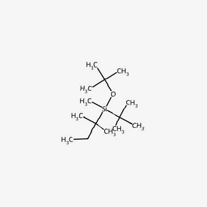 CCC(C)(C)[Si](C)(OC(C)(C)C)C(C)(C)C